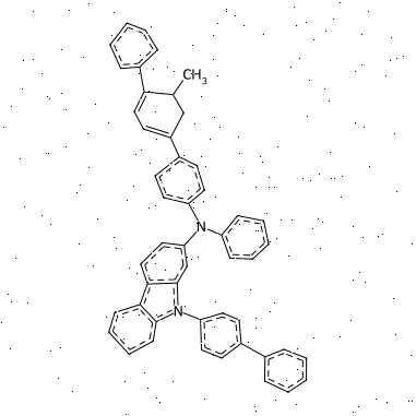 CC1CC(c2ccc(N(c3ccccc3)c3ccc4c5ccccc5n(-c5ccc(-c6ccccc6)cc5)c4c3)cc2)=CC=C1c1ccccc1